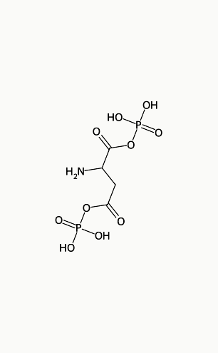 NC(CC(=O)OP(=O)(O)O)C(=O)OP(=O)(O)O